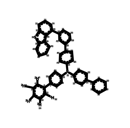 [2H]c1c([2H])c([2H])c(-c2ccc(N(c3ccc(-c4ccccc4)cc3)c3ccc(-c4cccc(-c5cccc6sc7ccccc7c56)c4)cc3)cc2)c([2H])c1[2H]